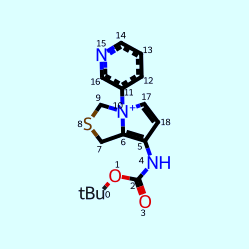 CC(C)(C)OC(=O)NC1=C2CSC[N+]2(c2cccnc2)C=C1